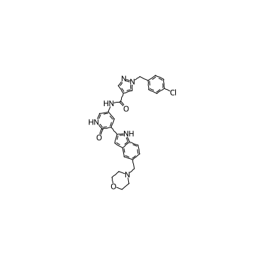 O=C(Nc1c[nH]c(=O)c(-c2cc3cc(CN4CCOCC4)ccc3[nH]2)c1)c1cnn(Cc2ccc(Cl)cc2)c1